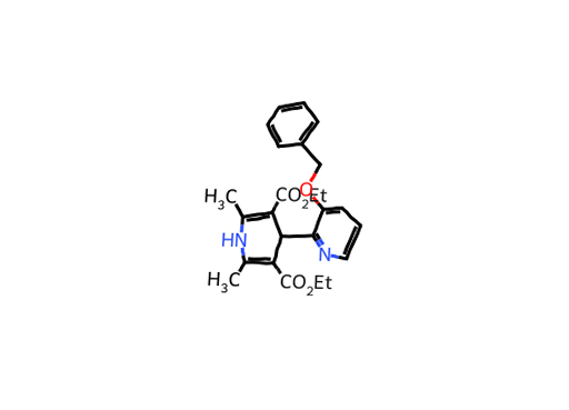 CCOC(=O)C1=C(C)NC(C)=C(C(=O)OCC)C1c1ncccc1OCc1ccccc1